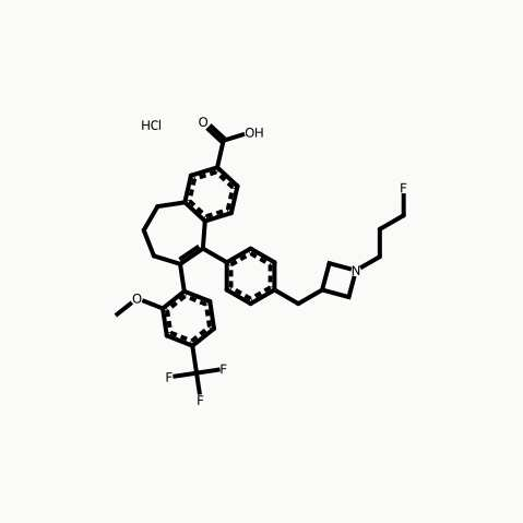 COc1cc(C(F)(F)F)ccc1C1=C(c2ccc(CC3CN(CCCF)C3)cc2)c2ccc(C(=O)O)cc2CCC1.Cl